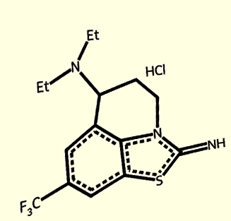 CCN(CC)C1CCn2c(=N)sc3cc(C(F)(F)F)cc1c32.Cl